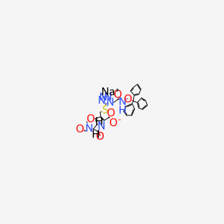 O=CN1COC2C(CSc3nnnn3CC(=O)NOC(c3ccccc3)(c3ccccc3)c3ccccc3)=C(C(=O)[O-])N3C(=O)[C@@H]1[C@@H]23.[Na+]